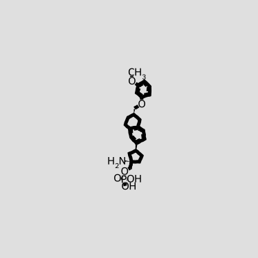 COc1cccc(OC[C@H]2CCc3cc([C@H]4CC[C@@](N)(COP(=O)(O)O)C4)ccc3C2)c1